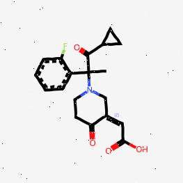 CC(C(=O)C1CC1)(c1ccccc1F)N1CCC(=O)/C(=C\C(=O)O)C1